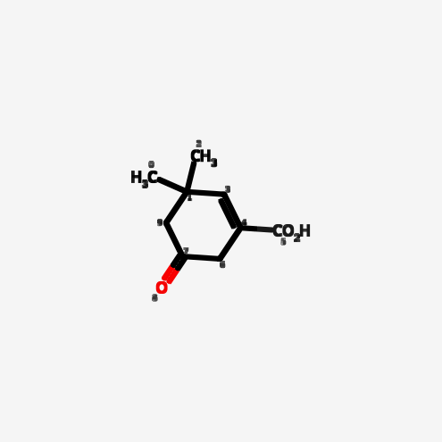 CC1(C)C=C(C(=O)O)CC(=O)C1